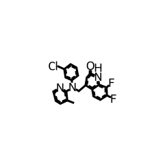 Cc1cccnc1N(Cc1cc(=O)[nH]c2c(F)c(F)ccc12)c1cccc(Cl)c1